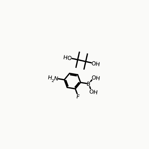 CC(C)(O)C(C)(C)O.Nc1ccc(B(O)O)c(F)c1